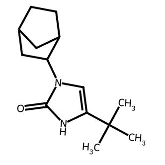 CC(C)(C)c1cn(C2CC3CCC2C3)c(=O)[nH]1